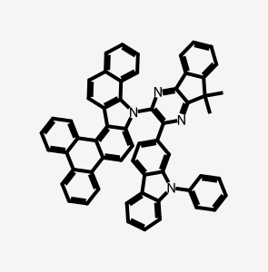 CC1(C)c2ccccc2-c2nc(-n3c4ccc5c6ccccc6c6ccccc6c5c4c4ccc5ccccc5c43)c(-c3ccc4c5ccccc5n(-c5ccccc5)c4c3)nc21